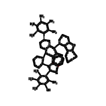 Bc1c(B)c(B)c(-c2ccc3c(-c4ccccc4-n4c(-c5c(B)c(B)c(B)c(O)c5B)nc5ccccc54)c4ccccc4c(-c4cccc5oc6ccccc6c45)c3c2)c(B)c1B